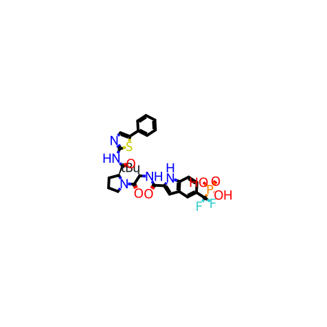 CC(C)(C)[C@H](NC(=O)c1cc2cc(C(F)(F)P(=O)(O)O)ccc2[nH]1)C(=O)N1CCC[C@H]1C(=O)Nc1ncc(-c2ccccc2)s1